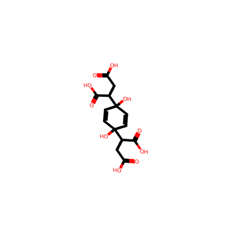 O=C(O)CC(C(=O)O)C1(O)C=CC(O)(C(CC(=O)O)C(=O)O)C=C1